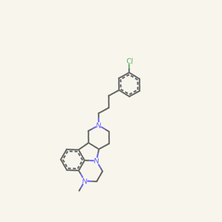 CN1CCN2c3c(cccc31)C1CN(CCCc3cccc(Cl)c3)CCC12